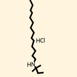 CCCCCCCCCCCCCCNC(C)(C)CC.Cl